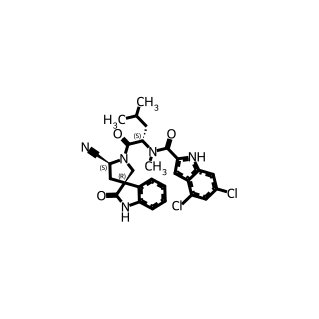 CC(C)C[C@@H](C(=O)N1C[C@]2(C[C@H]1C#N)C(=O)Nc1ccccc12)N(C)C(=O)c1cc2c(Cl)cc(Cl)cc2[nH]1